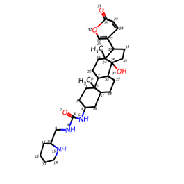 CC12CCC(NC(=O)NCC3CCCCN3)CC1CCC1C2CCC2(C)C(c3ccc(=O)oc3)CCC12O